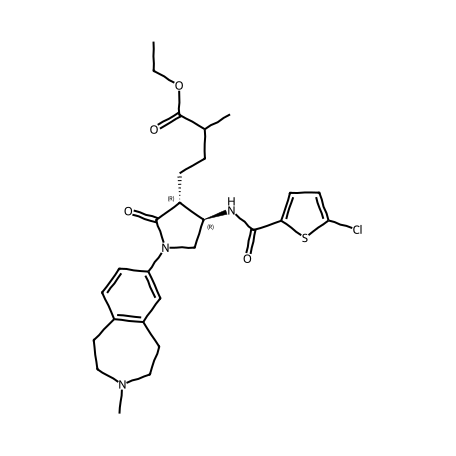 CCOC(=O)C(C)CC[C@H]1C(=O)N(c2ccc3c(c2)CCN(C)CC3)C[C@@H]1NC(=O)c1ccc(Cl)s1